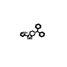 c1ccc(C(c2ccccc2)N2CCn3c(nnc3-c3ccc[nH]3)C2)cc1